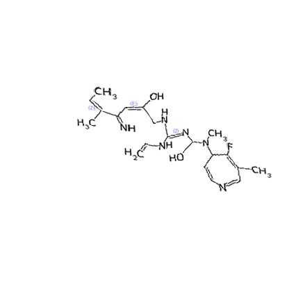 C=CN/C(=N\C(O)N(C)C1C=CN=CC(C)=C1F)NC/C(O)=C\C(=N)/C(C)=C\C